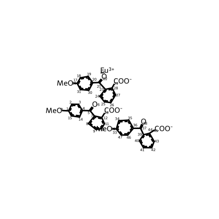 COc1ccc(C(=O)c2ccccc2C(=O)[O-])cc1.COc1ccc(C(=O)c2ccccc2C(=O)[O-])cc1.COc1ccc(C(=O)c2ccccc2C(=O)[O-])cc1.[Eu+3]